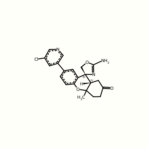 CC12CCC(=O)C[C@H]1[C@]1(COC(N)=N1)c1cc(-c3cncc(Cl)c3)ccc1O2